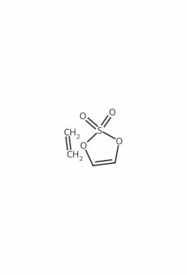 C=C.O=S1(=O)OC=CO1